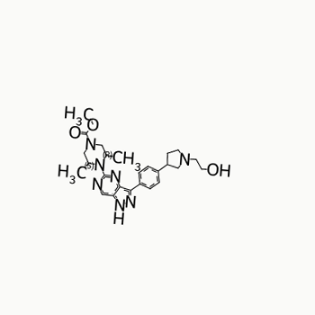 COC(=O)N1C[C@@H](C)N(c2ncc3[nH]nc(-c4ccc(C5CCN(CCO)C5)cc4)c3n2)[C@@H](C)C1